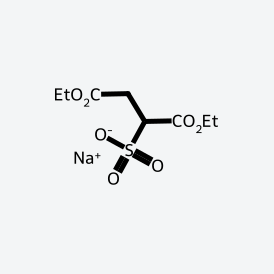 CCOC(=O)CC(C(=O)OCC)S(=O)(=O)[O-].[Na+]